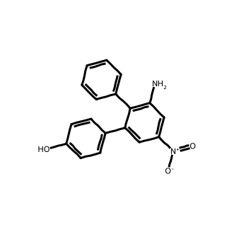 Nc1cc([N+](=O)[O-])cc(-c2ccc(O)cc2)c1-c1ccccc1